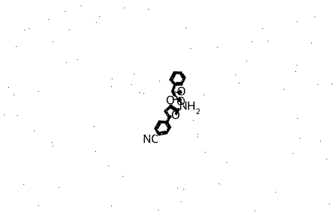 N#Cc1ccc(C2CC(OS(=O)(=O)Cc3ccccc3)=C(N)O2)cc1